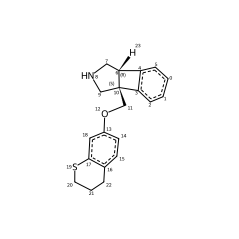 c1ccc2c(c1)[C@H]1CNC[C@@]21COc1ccc2c(c1)SCCC2